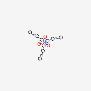 O=c1c2cc(-c3ccc(/C=C/c4ccccc4)cc3)cc3c(=O)c4cc(-c5ccc(/C=C/c6ccccc6)cc5)cc5c(=O)c6cc(-c7ccc(/C=C/c8ccccc8)cc7)cc1c6n(c23)c45